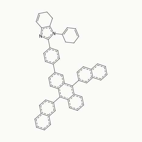 C1=CCCC(n2c(-c3ccc(-c4ccc5c(-c6ccc7ccccc7c6)c6ccccc6c(-c6ccc7ccccc7c6)c5c4)cc3)nc3c2CCC=C3)=C1